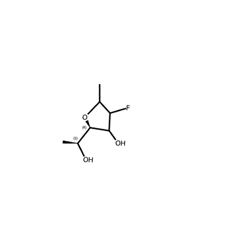 CC1O[C@H]([C@H](C)O)C(O)C1F